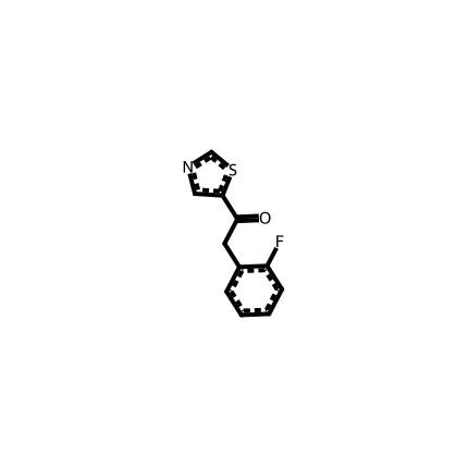 O=C(Cc1ccccc1F)c1cncs1